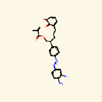 C=C(C)C(=O)OCC(CCCC1=CC=CC(=O)C1=O)c1ccc(/N=N/c2ccc(N)c(N)c2)cc1